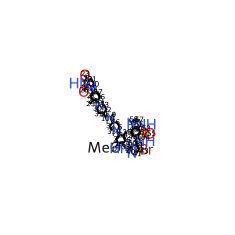 COc1cc(N2CCC(N(C)CC3CCN(c4ccc(N5CCC(=O)NC5=O)cc4C)CC3)CC2)c(C)cc1Nc1ncc(Br)c(Nc2ccc3c(c2P(C)(C)=O)NCC=N3)n1